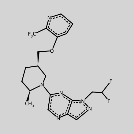 C[C@H]1CC[C@@H](COc2cccnc2C(F)(F)F)CN1c1cnc2cnn(CC(F)F)c2n1